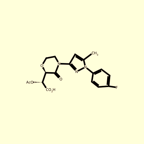 CC(=O)O[C@@H](C(=O)O)[C@H]1OCCN(c2cc(C)n(-c3ccc(F)cc3)n2)C1=O